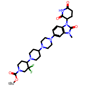 Cn1c(=O)n(C2CCC(=O)NC2=O)c2ccc(N3CCN(C4CCN(C5CCN(C(=O)OC(C)(C)C)CC5(F)F)CC4)CC3)cc21